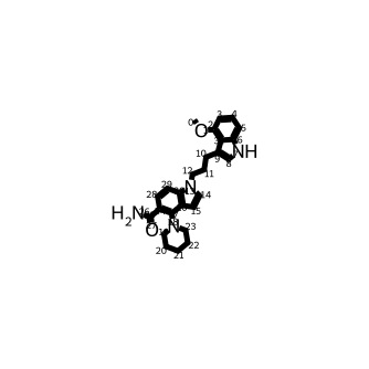 COc1cccc2[nH]cc(CCCn3ccc4c(N5CCCCC5)c(C(N)=O)ccc43)c12